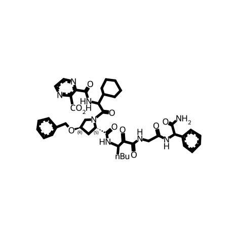 CCCCC(NC(=O)[C@@H]1C[C@@H](OCc2ccccc2)CN1C(=O)C(NC(=O)c1nccnc1C(=O)O)C1CCCCC1)C(=O)C(=O)NCC(=O)NC(C(N)=O)c1ccccc1